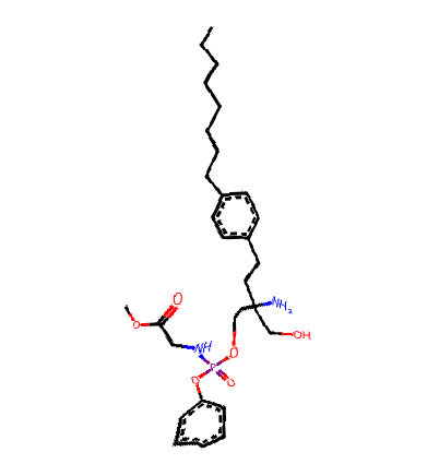 CCCCCCCCc1ccc(CCC(N)(CO)COP(=O)(NCC(=O)OC)Oc2ccccc2)cc1